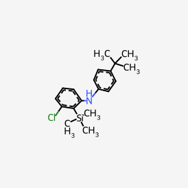 CC(C)(C)c1ccc(Nc2cccc(Cl)c2[Si](C)(C)C)cc1